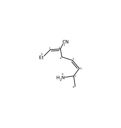 CC/C=C(/C#N)C/C=C\C(C)N